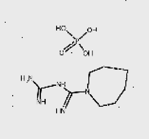 N=C(N)NC(=N)N1CCCCCC1.O=P(O)(O)O